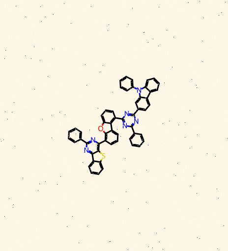 c1ccc(-c2nc(-c3ccc4c5ccccc5n(-c5ccccc5)c4c3)nc(-c3cccc4oc5c(-c6nc(-c7ccccc7)nc7c6sc6ccccc67)cccc5c34)n2)cc1